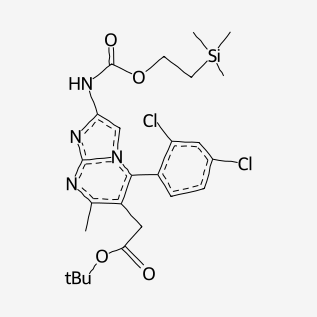 Cc1nc2nc(NC(=O)OCC[Si](C)(C)C)cn2c(-c2ccc(Cl)cc2Cl)c1CC(=O)OC(C)(C)C